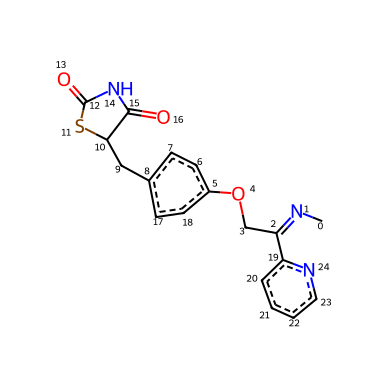 CN=C(COc1ccc(CC2SC(=O)NC2=O)cc1)c1ccccn1